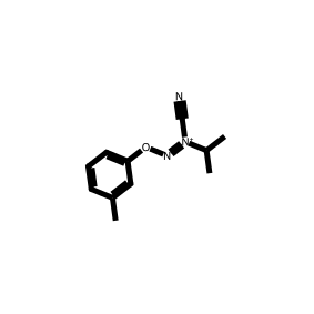 Cc1cccc(ON=[N+](C#N)C(C)C)c1